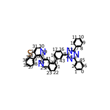 c1ccc(-c2nc(-c3ccccc3)nc(-c3cccc(-c4cccc5cnc(-c6nccc7sc8ccccc8c67)cc45)c3)n2)cc1